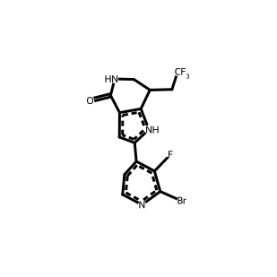 O=C1NCC(CC(F)(F)F)c2[nH]c(-c3ccnc(Br)c3F)cc21